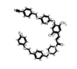 Cc1cc(/C=C/C(=O)N2CCN(Cc3ccc(CCOc4ccc(F)cc4)cc3)CC2)c(Cl)cc1Oc1ccc(OCc2ccc(C#N)cc2)cn1